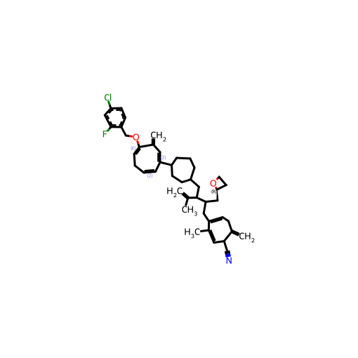 C=C1/C=C(C2CCCC(CC(C(=C)C)C(CC3=CCC(=C)C(C#N)C=C3C)C[C@@H]3CCO3)CC2)\C=C/C/C=C\1OCc1ccc(Cl)cc1F